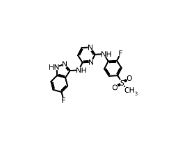 CS(=O)(=O)c1ccc(Nc2nccc(Nc3n[nH]c4ccc(F)cc34)n2)c(F)c1